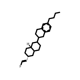 CCCCc1ccc2c(c1)CCC(C1CCC3C[C@H](C=CF)CC[C@@H]3C1)C2